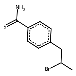 CC(Br)Cc1ccc(C(N)=S)cc1